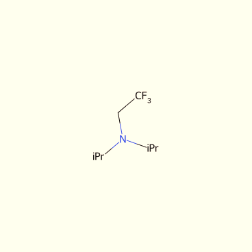 CC(C)N(CC(F)(F)F)C(C)C